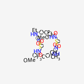 CCC(NC1CCN(S(=O)(=O)c2ccc(CNC(=O)c3cccc(OC)c3)s2)CC1)c1ccc(C(F)(F)F)cc1.COc1cccc(C(=O)NCc2ccc(S(=O)(=O)N3CCC(NC(C)(C)c4ccc(C(F)(F)F)cc4)CC3)s2)c1